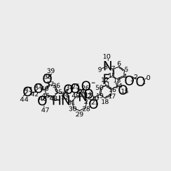 COCOc1ccc(N(C)C)c(F)c1C(=O)c1ccc(C(=O)O[N+]2(C(=O)[O-])CCCCC(NC(=O)c3cc(OC)c(OCOC)c(OC)c3)C2)cc1